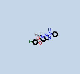 Cn1c(=O)c(Oc2ccc(F)cc2)cc2cnc(NC3CCCCC3)nc21